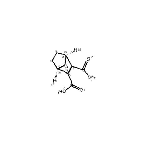 BC(=O)C1C(C(=O)O)[C@H]2CC[C@@H]1O2